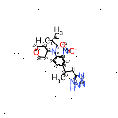 CC(C)CN(c1ccc(C(C)Cc2nnn[nH]2)cc1[N+](=O)[O-])C1CCOCC1